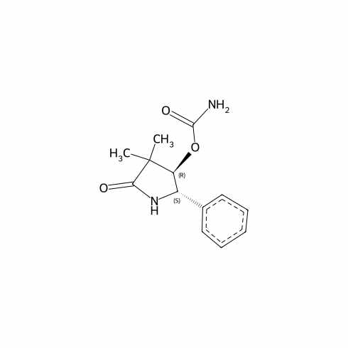 CC1(C)C(=O)N[C@@H](c2ccccc2)[C@@H]1OC(N)=O